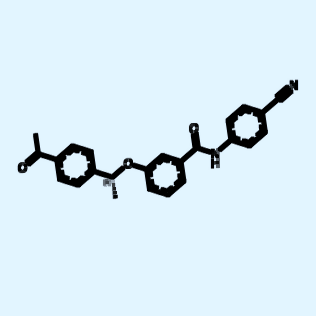 CC(=O)c1ccc([C@@H](C)Oc2cccc(C(=O)Nc3ccc(C#N)cc3)c2)cc1